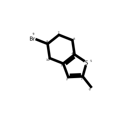 Cc1cc2c(s1)CCC(Br)C2